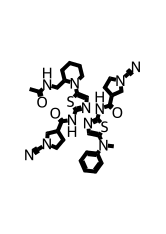 CC(=O)NCC1CCCCN1c1cnc(NC(=O)C2CCN(C#N)C2)s1.CN(c1ccccc1)c1cnc(NC(=O)C2CCN(C#N)C2)s1